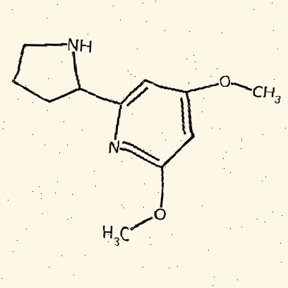 COc1cc(OC)nc(C2CCCN2)c1